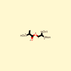 CCCCCCCCCC(CCCCCCCC)COC(=O)C(C)CCCCCCCC